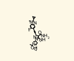 CNc1c(C(N)=O)c(C#Cc2cc3nc(C4CC4)n(C)c3cc2F)nn1[C@H]1C[C@H](COC)N(C(C)=O)C1